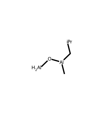 CC(C)[CH2][Al]([CH3])[O][AlH2]